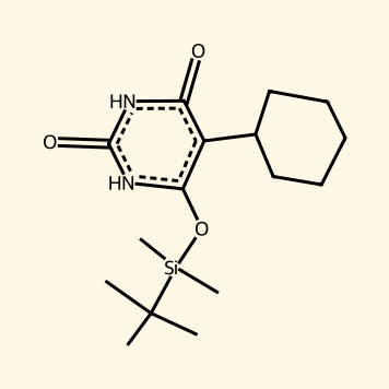 CC(C)(C)[Si](C)(C)Oc1[nH]c(=O)[nH]c(=O)c1C1CCCCC1